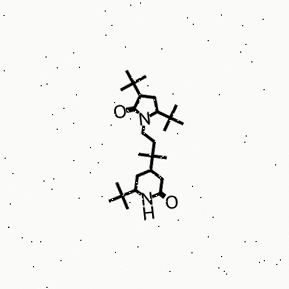 CC(C)(C)C1CC(C(C)(C)CCN2C(=O)C(C(C)(C)C)CC2C(C)(C)C)CC(=O)N1